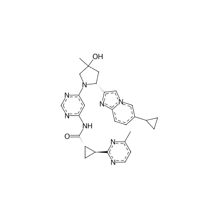 Cc1ccnc([C@H]2C[C@@H]2C(=O)Nc2cc(N3CC(C)(O)C[C@@H]3c3cn4cc(C5CC5)ccc4n3)ncn2)n1